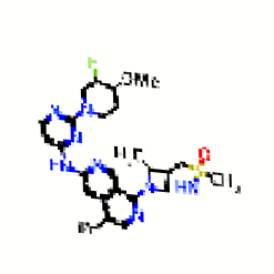 CO[C@H]1CCN(c2nccc(Nc3cc4c(C(C)C)cnc(N5CC(CS(C)(=N)=O)[C@H]5C)c4cn3)n2)C[C@H]1F